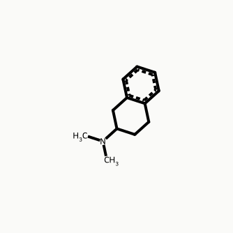 CN(C)C1CCc2ccccc2C1